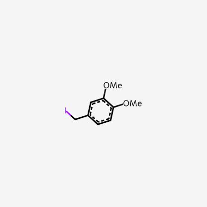 COc1ccc(CI)cc1OC